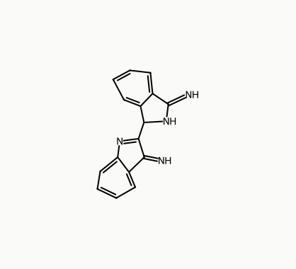 N=C1C(C2NC(=N)c3ccccc32)=Nc2ccccc21